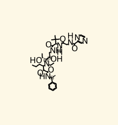 CCCC(C(=O)C(=O)N[C@@H](C)c1ccccc1)N(CC)[C@H](C(C)O)[C@@H](O)CNC(=O)C(NC(=O)CNC(=O)c1cnccn1)C(C)(C)C